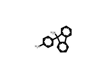 Nc1ccc(C2(N)c3ccccc3-c3ccccc32)cc1